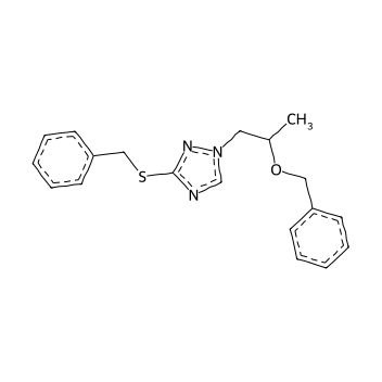 CC(Cn1cnc(SCc2ccccc2)n1)OCc1ccccc1